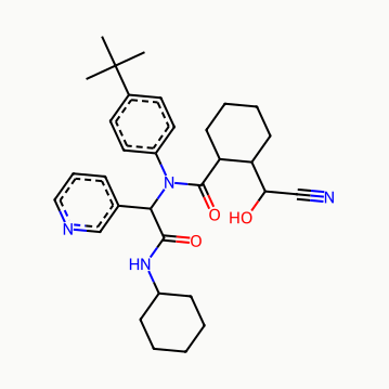 CC(C)(C)c1ccc(N(C(=O)C2CCCCC2C(O)C#N)C(C(=O)NC2CCCCC2)c2cccnc2)cc1